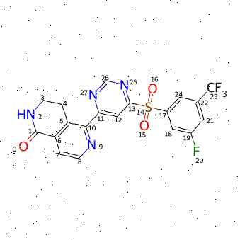 O=C1NCCc2c1ccnc2-c1cc(S(=O)(=O)c2cc(F)cc(C(F)(F)F)c2)ncn1